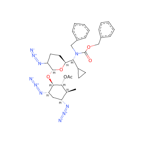 CC(=O)O[C@@H]1[C@@H](C)[C@H](N=[N+]=[N-])C[C@H](N=[N+]=[N-])[C@H]1O[C@H]1O[C@H]([C@@H](C2CC2)N(Cc2ccccc2)C(=O)OCc2ccccc2)CCC1N=[N+]=[N-]